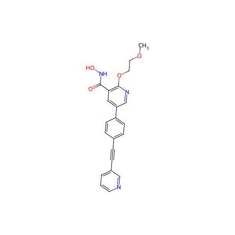 COCCOc1ncc(-c2ccc(C#Cc3cccnc3)cc2)cc1C(=O)NO